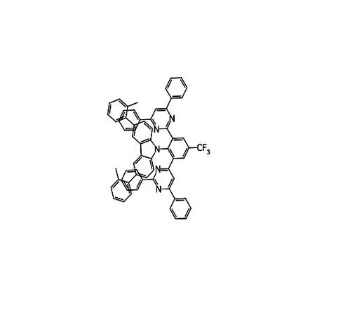 Cc1ccccc1-c1ccc2c(c1)c1cc(-c3ccccc3C)ccc1n2-c1c(-c2cc(-c3ccccc3)nc(-c3ccccc3)n2)cc(C(F)(F)F)cc1-c1nc(-c2ccccc2)cc(-c2ccccc2)n1